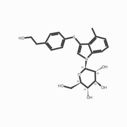 Cc1cccc2c1c(Sc1ccc(CCO)cc1)cn2[C@@H]1O[C@H](CO)[C@@H](O)[C@H](O)[C@H]1O